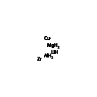 [AlH3].[Cu].[LiH].[MgH2].[Zr]